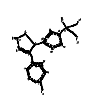 Fc1ccc(C2=NNCC2c2cc(C(F)(F)F)ns2)cc1